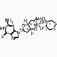 CO[C@H]1CSSC[C@@H]1O[PH]1(O)OC[C@H]2O[C@@H](n3cnc4c(=S)[nH]c(N)nc43)C[C@@H]2O1